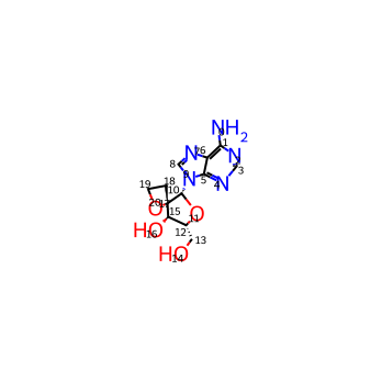 Nc1ncnc2c1ncn2[C@@H]1O[C@H](CO)[C@@H](O)[C@@]12CCO2